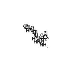 Cc1c(Cl)cccc1C1=CC(NCCc2cccc(NC(=O)N3CCOCC3)c2)NC(N)=N1